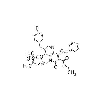 CCOC(=O)c1c(OCc2ccccc2)c2ncc(Cc3ccc(F)cc3)c3c2n(c1=O)C[C@@H](CN(C)S(C)(=O)=O)O3